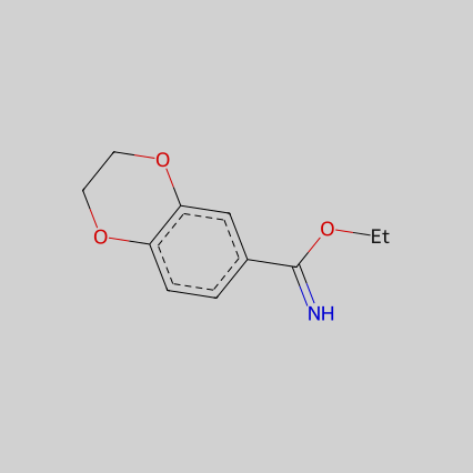 CCOC(=N)c1ccc2c(c1)OCCO2